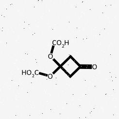 O=C1CC(OC(=O)O)(OC(=O)O)C1